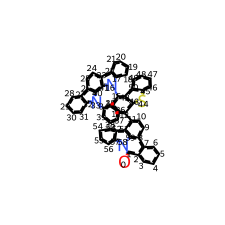 O=c1c2ccccc2c2ccc(-c3ccc(-n4c5ccccc5c5ccc6c7ccccc7n(-c7ccccc7)c6c54)c4c3sc3ccccc34)c3c4ccccc4n1c23